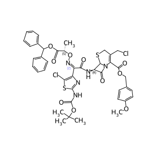 COc1ccc(COC(=O)C2=C(CCl)CSC3[C@H](NC(=O)/C(=N\O[C@@H](C)C(=O)OC(c4ccccc4)c4ccccc4)c4nc(NC(=O)OC(C)(C)C)sc4Cl)C(=O)N23)cc1